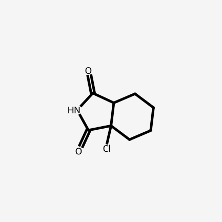 O=C1NC(=O)C2(Cl)CCCCC12